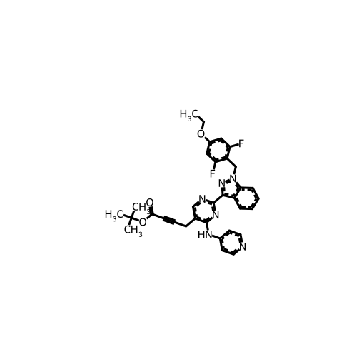 CCOc1cc(F)c(Cn2nc(-c3ncc(CC#CC(=O)OC(C)(C)C)c(Nc4ccncc4)n3)c3ccccc32)c(F)c1